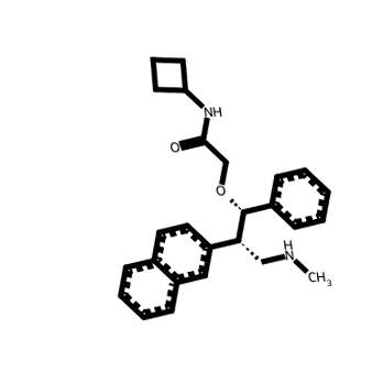 CNC[C@H](c1ccc2ccccc2c1)[C@H](OCC(=O)NC1CCC1)c1ccccc1